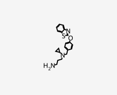 NCCCN(Cc1ccc(Oc2nc3ccccc3s2)cc1)C1CC1